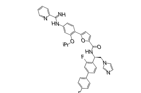 CC(C)Oc1cc(NC(=N)c2ccccn2)ccc1-c1ccc(C(=O)N[C@@H](Cn2ccnc2)c2ccc(-c3ccc(F)cc3)cc2F)o1